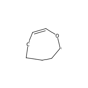 [C]1CCCC/C=C\O1